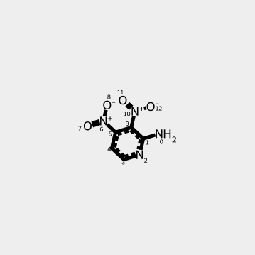 Nc1nccc([N+](=O)[O-])c1[N+](=O)[O-]